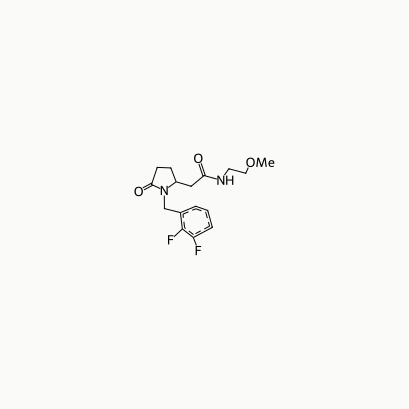 COCCNC(=O)CC1CCC(=O)N1Cc1cccc(F)c1F